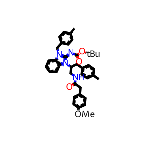 COc1ccc(CC(=O)NCC(Cc2ccc(C)cc2)n2c(=NC(=O)OC(C)(C)C)n(Cc3ccc(C)cc3)c3ccccc32)cc1